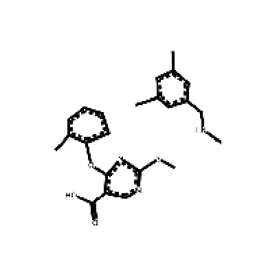 CNCc1cc(C)cc(C)c1.CSc1ncc(C(=O)O)c(Oc2ccccc2C)n1